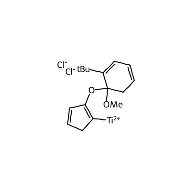 COC1(OC2=[C]([Ti+2])CC=C2)CC=CC=C1C(C)(C)C.[Cl-].[Cl-]